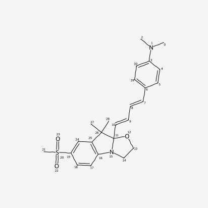 CN(C)c1ccc(C=CC=CC23OCCN2c2ccc(S(C)(=O)=O)cc2C3(C)C)cc1